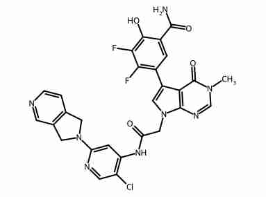 Cn1cnc2c(c(-c3cc(C(N)=O)c(O)c(F)c3F)cn2CC(=O)Nc2cc(N3Cc4ccncc4C3)ncc2Cl)c1=O